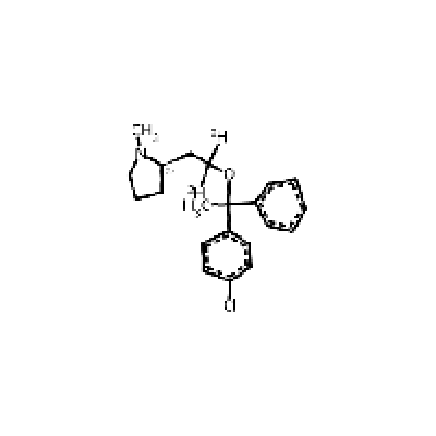 [2H]C([2H])(C[C@H]1CCCN1C)OC(C)(c1ccccc1)c1ccc(Cl)cc1